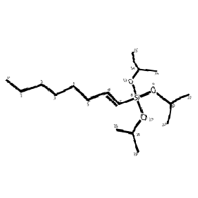 CCCCCCC=C[Si](OC(C)C)(OC(C)C)OC(C)C